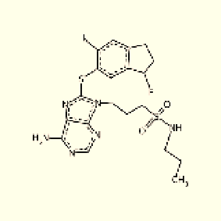 CCCNS(=O)(=O)CCCn1c(Sc2cc3c(cc2I)CCC3F)nc2c(N)ncnc21